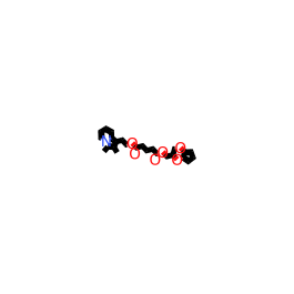 Cc1c(CCOC(=O)CCCC(=O)OCC2COC3=CCC=C3O2)c2ccccn2c1C